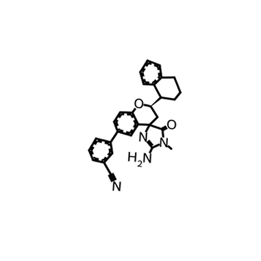 CN1C(=O)C2(C[C@H](C3CCCc4ccccc43)Oc3ccc(-c4cccc(C#N)c4)cc32)N=C1N